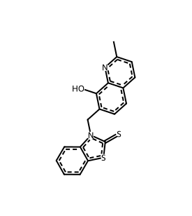 Cc1ccc2ccc(Cn3c(=S)sc4ccccc43)c(O)c2n1